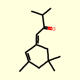 CC1=CC(=CC(=O)C(C)C)CC(C)(C)C1